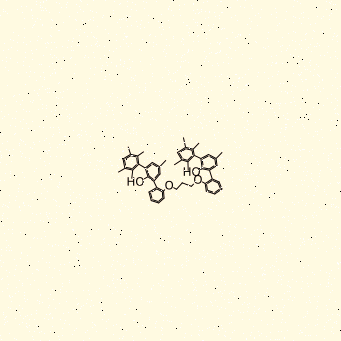 Cc1cc(-c2ccccc2OCCCOc2ccccc2-c2cc(C)cc(-c3c(C)c(C)cc(C)c3C)c2O)c(O)c(-c2c(C)c(C)cc(C)c2C)c1